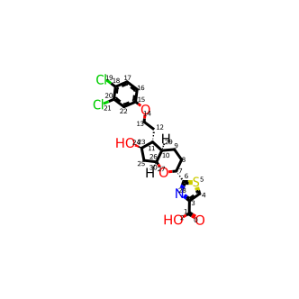 O=C(O)c1csc([C@H]2CC[C@@H]3[C@@H](CCOc4ccc(Cl)c(Cl)c4)[C@H](O)C[C@@H]3O2)n1